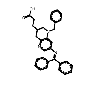 O=C(O)CCC1Cc2ncc(N=C(c3ccccc3)c3ccccc3)cc2N(Cc2ccccc2)C1